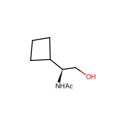 CC(=O)N[C@H](CO)C1CCC1